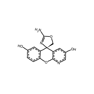 NC1=N[C@@]2(CO1)c1cc(O)ccc1Oc1ncc(O)cc12